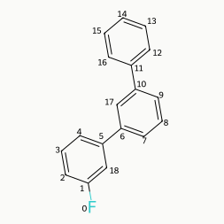 Fc1cccc(-c2cccc(-c3ccccc3)c2)c1